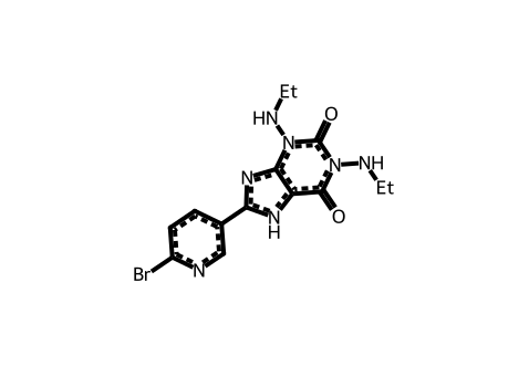 CCNn1c(=O)c2[nH]c(-c3ccc(Br)nc3)nc2n(NCC)c1=O